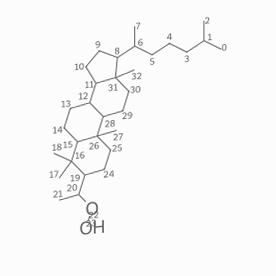 CC(C)CCCC(C)C1CCC2C3CCC4C(C)(C)C(C(C)OO)CCC4(C)C3CCC12C